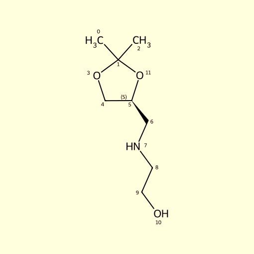 CC1(C)OC[C@H](CNCCO)O1